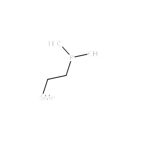 CSCCP(C)C